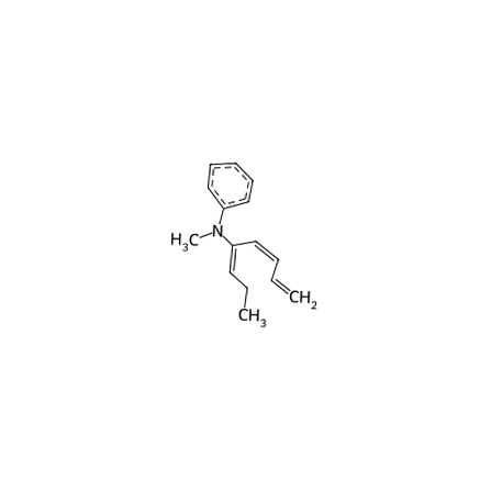 C=C/C=C\C(=C/CC)N(C)c1ccccc1